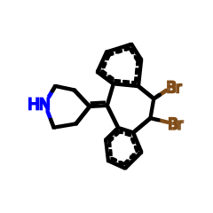 BrC1c2ccccc2C(=C2CCNCC2)c2ccccc2C1Br